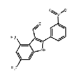 Cc1cc(C)c2c(C=O)c(-c3cccc([N+](=O)[O-])c3)[nH]c2c1